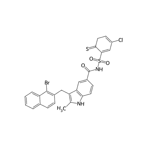 Cc1[nH]c2ccc(C(=O)NS(=O)(=O)C3=CC(Cl)=CCC3=S)cc2c1Cc1ccc2ccccc2c1Br